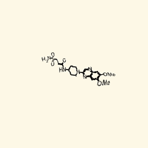 COc1cc2ncc(N3CCC(NC(=O)CCS(N)(=O)=O)CC3)nc2cc1OC